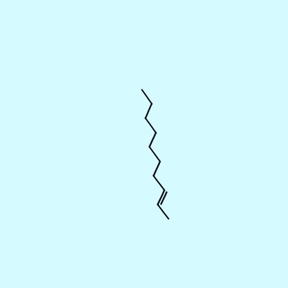 CC=CCCCCCCC